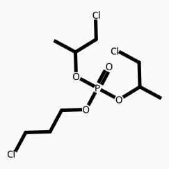 CC(CCl)OP(=O)(OCCCCl)OC(C)CCl